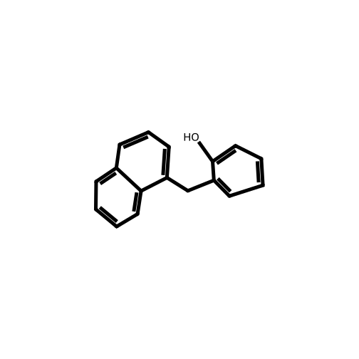 Oc1ccccc1Cc1cccc2ccccc12